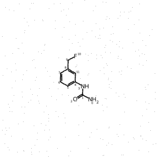 NC(=O)Nc1cccc(CF)c1